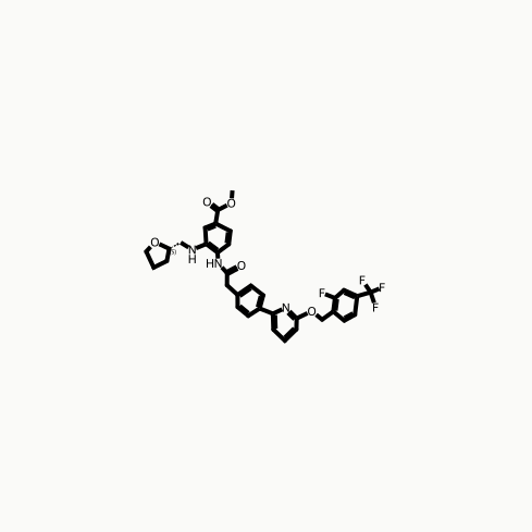 COC(=O)c1ccc(NC(=O)Cc2ccc(-c3cccc(OCc4ccc(C(F)(F)F)cc4F)n3)cc2)c(NC[C@@H]2CCCO2)c1